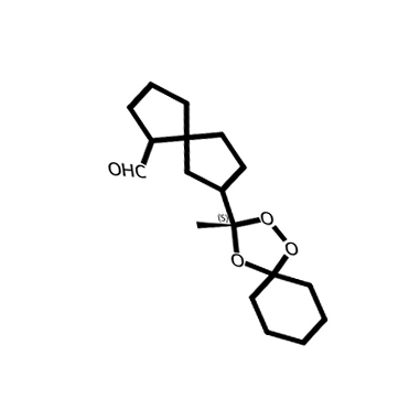 C[C@@]1(C2CCC3(CCCC3C=O)C2)OOC2(CCCCC2)O1